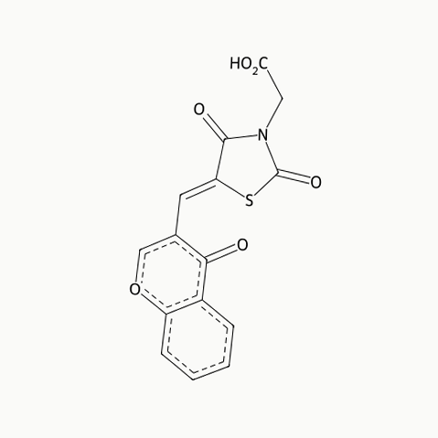 O=C(O)CN1C(=O)SC(=Cc2coc3ccccc3c2=O)C1=O